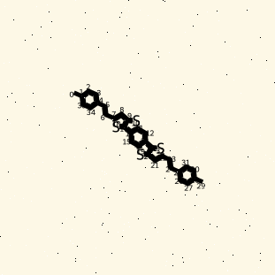 Cc1ccc(/C=C/c2cc3sc4cc5c(cc4c3s2)sc2cc(/C=C/c3ccc(C)cc3)sc25)cc1